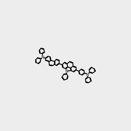 c1ccc(N(c2ccccc2)c2ccc(-c3cc4ccc5cc(-c6ccc7c(ccc8cc(N(c9ccccc9)c9ccccc9)ccc87)c6)cc6c5c4c(c3)n6-c3ccccc3)cc2)cc1